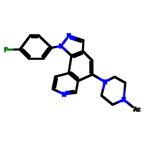 CC(=O)N1CCN(c2cc3cnn(-c4ccc(F)cc4)c3c3ccncc23)CC1